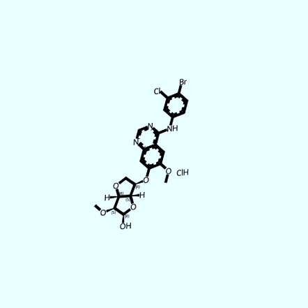 COc1cc2c(Nc3ccc(Br)c(Cl)c3)ncnc2cc1O[C@@H]1CO[C@@H]2[C@H]1O[C@@H](O)[C@H]2OC.Cl